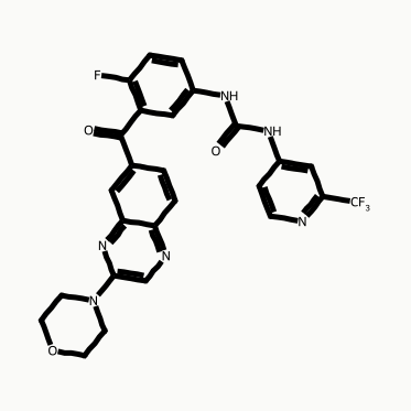 O=C(Nc1ccnc(C(F)(F)F)c1)Nc1ccc(F)c(C(=O)c2ccc3ncc(N4CCOCC4)nc3c2)c1